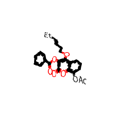 CCC=CCCOc1c(OC(=O)c2ccccc2)c(=O)oc2c(OC(C)=O)cccc12